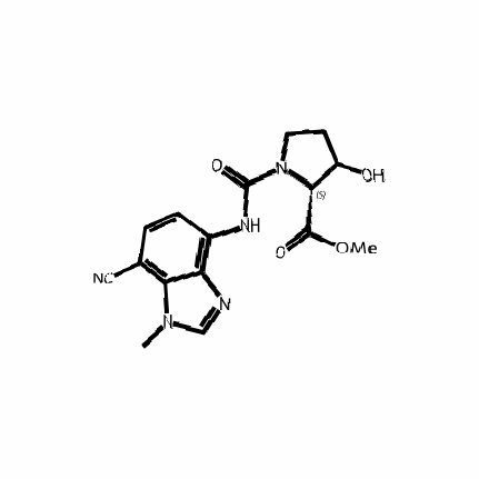 COC(=O)[C@@H]1C(O)CCN1C(=O)Nc1ccc(C#N)c2c1ncn2C